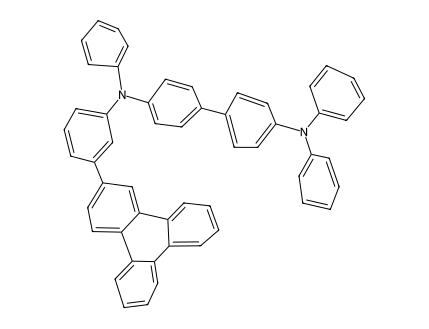 c1ccc(N(c2ccccc2)c2ccc(-c3ccc(N(c4ccccc4)c4cccc(-c5ccc6c7ccccc7c7ccccc7c6c5)c4)cc3)cc2)cc1